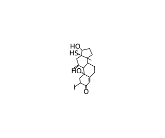 C=C1C[C@]2(S)C(O)CCC2(C)C2CCC3=CC(=O)C(I)C[C@]3(O)C12